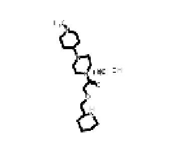 CN1CCC(N2CCN(C(=O)COCC3CCCCN3)CC2)CC1.Cl.Cl.Cl